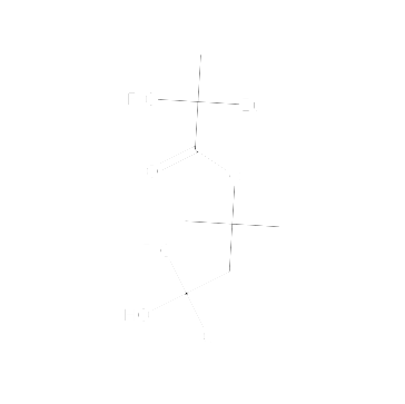 CCC(C)(C(=O)OC(C)(C)CC(O)(C(F)(F)F)C(F)(F)F)C(F)(F)F